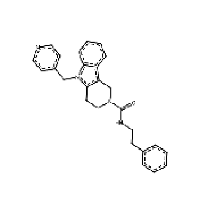 O=C(NCCc1ccccc1)N1CCc2c(c3ccccc3n2Cc2ccncc2)C1